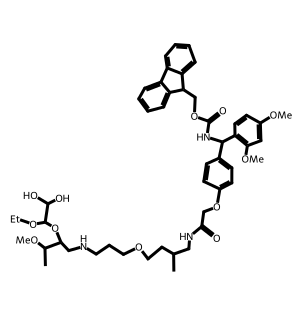 CCOC(OC(CNCCCOCCC(C)CNC(=O)COc1ccc(C(NC(=O)OCC2c3ccccc3-c3ccccc32)c2ccc(OC)cc2OC)cc1)C(C)OC)C(O)O